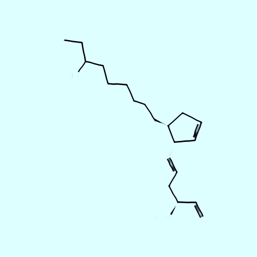 C=C[C@H](CC=C[C@H]1C=CC[C@@H]1CCCCCCC(O)CO)CCCCCC